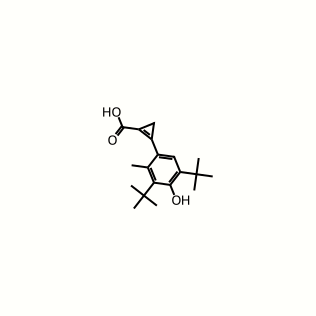 Cc1c(C2=C(C(=O)O)C2)cc(C(C)(C)C)c(O)c1C(C)(C)C